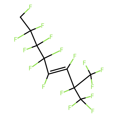 FCC(F)(F)C(F)(F)C(F)(F)C(F)=C(F)C(F)(C(F)(F)F)C(F)(F)F